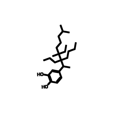 CCCCC(CCC)(C(C)c1ccc(O)c(O)c1)C(C)(CC)CCCC(C)C